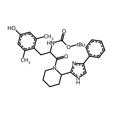 Cc1cc(O)cc(C)c1CC(NC(=O)OC(C)(C)C)C(=O)N1CCCCC1c1nc(-c2ccccc2)c[nH]1